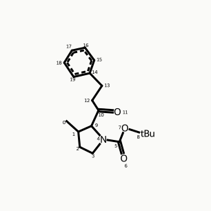 CC1CCN(C(=O)OC(C)(C)C)C1C(=O)CCc1ccccc1